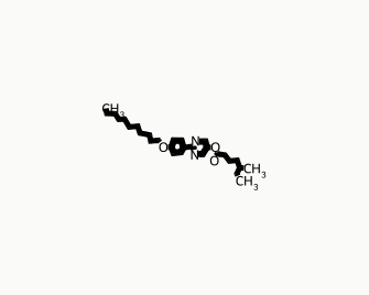 CCCCCCCCCCCOc1ccc(-c2ncc(OC(=O)CCCC(C)CC)cn2)cc1